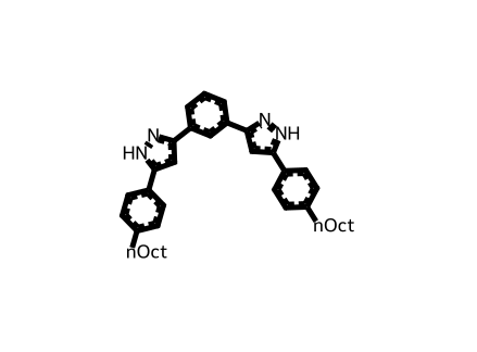 CCCCCCCCc1ccc(-c2cc(-c3cccc(-c4cc(-c5ccc(CCCCCCCC)cc5)[nH]n4)c3)n[nH]2)cc1